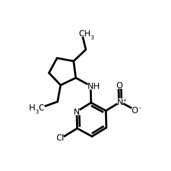 CCC1CCC(CC)C1Nc1nc(Cl)ccc1[N+](=O)[O-]